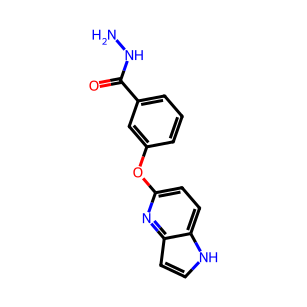 NNC(=O)c1cccc(Oc2ccc3[nH]ccc3n2)c1